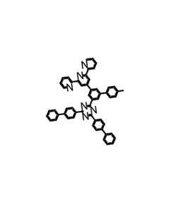 Cc1ccc(-c2cc(-c3cc(-c4ccccn4)nc(-c4ccccn4)c3)cc(-c3nc(-c4ccc(-c5ccccc5)cc4)nc(-c4ccc(-c5ccccc5)cc4)n3)c2)cc1